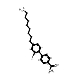 CCCCCCCCCc1ccc(-c2ccc(C(C)=O)cc2)c(F)c1